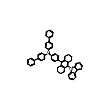 c1ccc(-c2ccc(N(c3ccc(-c4ccccc4)cc3)c3ccc(-c4c5c(c(-n6c7ccccc7c7ccccc76)c6c4CCCC6)CCCC5)cc3)cc2)cc1